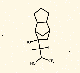 OC(C(F)(F)F)C(F)(F)C1(O)CC2CC1C1CCCC21